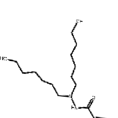 C=CC(=O)NN(CCCCCCO)CCCCCCO